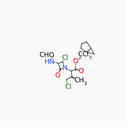 C1CC2CC2C1.C=C(CCl)C(C(=O)OCC(Cl)(Cl)Cl)N1C(=O)C(NC=O)C1Cl